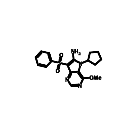 COc1ncnc2c(S(=O)(=O)c3ccccc3)c(N)n(C3CCCC3)c12